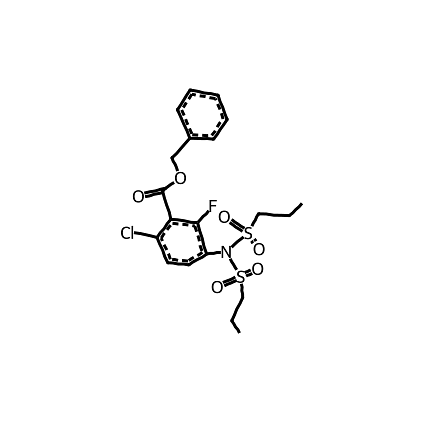 CCCS(=O)(=O)N(c1ccc(Cl)c(C(=O)OCc2ccccc2)c1F)S(=O)(=O)CCC